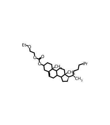 CCOCCOC(=O)OC1CC[C@@]2(C)C(=CCC3C2CC[C@@]2(C)C3CC[C@@H]2[C@H](C)CCCC(C)C)C1